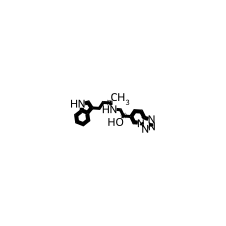 C[C@H](CCc1c[nH]c2ccccc12)NC[C@H](O)c1ccc2nnnn2c1